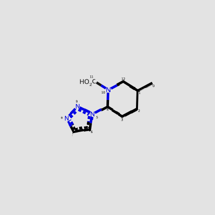 CC1CCC(n2ccnn2)N(C(=O)O)C1